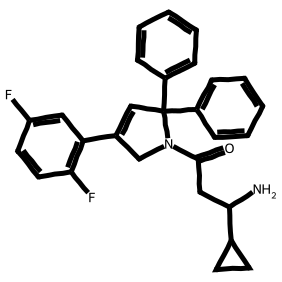 NC(CC(=O)N1CC(c2cc(F)ccc2F)=CC1(c1ccccc1)c1ccccc1)C1CC1